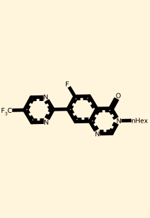 CCCCCCn1cnc2cc(-c3ncc(C(F)(F)F)cn3)c(F)cc2c1=O